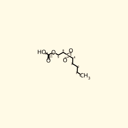 CCCCCS(=O)(=O)CCOC(=O)O